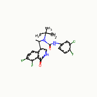 BC(B)(B)N(C(=O)Nc1ccc(F)c(Cl)c1)C(C)c1c[nH]c(=O)c2c(F)c(F)ccc12